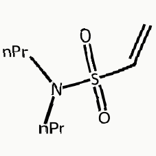 C=CS(=O)(=O)N(CCC)CCC